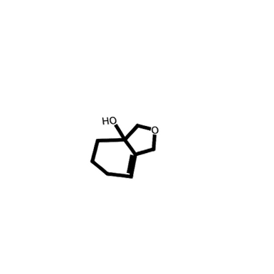 OC12CCCC=C1COC2